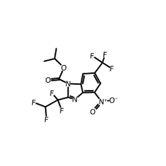 CC(C)OC(=O)n1c(C(F)(F)C(F)F)nc2c([N+](=O)[O-])cc(C(F)(F)F)cc21